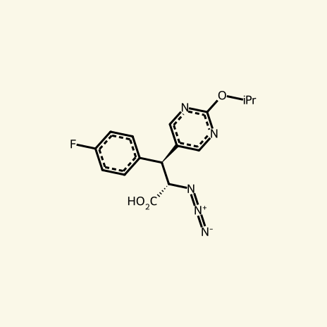 CC(C)Oc1ncc([C@H](c2ccc(F)cc2)[C@H](N=[N+]=[N-])C(=O)O)cn1